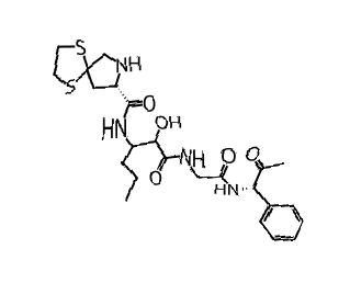 CCCC(NC(=O)[C@@H]1CC2(CN1)SCCS2)C(O)C(=O)NCC(=O)N[C@H](C(C)=O)c1ccccc1